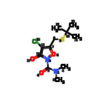 CN(C)C(=O)n1oc(CSC(C)(C)C)c(Cl)c1=O